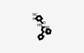 N#Cc1ccc(C(=O)N/C(=C/C(=N)c2ccccc2)Nc2ccccc2)cc1F